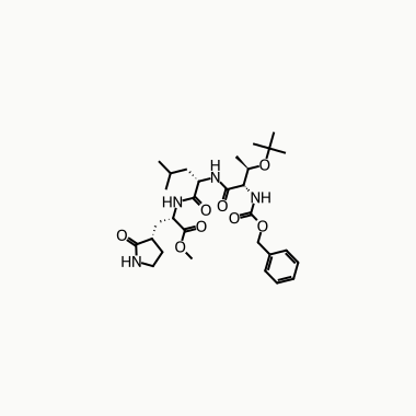 COC(=O)[C@H](C[C@@H]1CCNC1=O)NC(=O)[C@H](CC(C)C)NC(=O)[C@@H](NC(=O)OCc1ccccc1)[C@@H](C)OC(C)(C)C